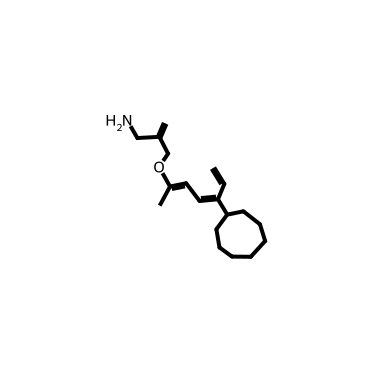 C=C/C(=C\C=C(/C)OCC(=C)CN)C1CCCCCCC1